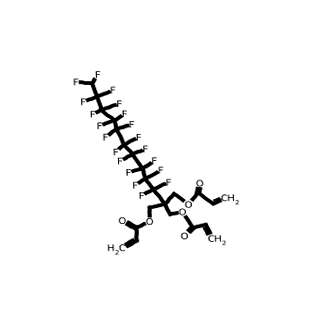 C=CC(=O)OCC(COC(=O)C=C)(COC(=O)C=C)C(F)(F)C(F)(F)C(F)(F)C(F)(F)C(F)(F)C(F)(F)C(F)(F)C(F)(F)C(F)(F)C(F)F